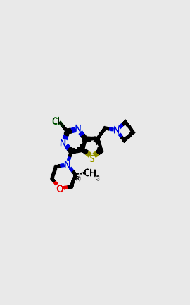 C[C@@H]1COCCN1c1nc(Cl)nc2c(CN3CCC3)csc12